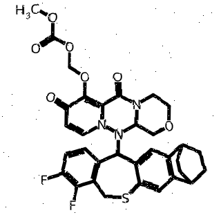 COC(=O)OCOc1c2n(ccc1=O)N(C1c3cc4c(cc3SCc3c1ccc(F)c3F)C1CCC4CC1)C1COCCN1C2=O